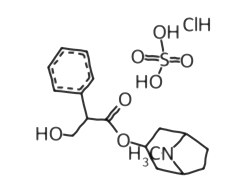 CN1C2CCC1CC(OC(=O)C(CO)c1ccccc1)C2.Cl.O=S(=O)(O)O